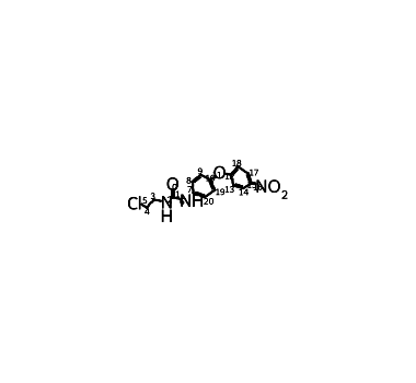 O=C(NCCCl)Nc1ccc(Oc2ccc([N+](=O)[O-])cc2)cc1